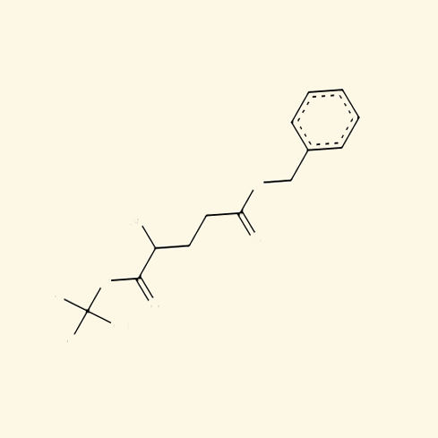 CC(C)(C)OC(=O)C(Br)CCC(=O)OCc1ccccc1